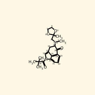 CN(CC1(C)OCCO1)C1Cc2cn(C(=O)C(C)(C)C)c3cccc(c23)C1=O